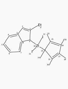 CCC1=Cc2ccccc2[CH]1[Zr]([I])([I])[C]1(C)C(C)=C(C)C(C)=C1C